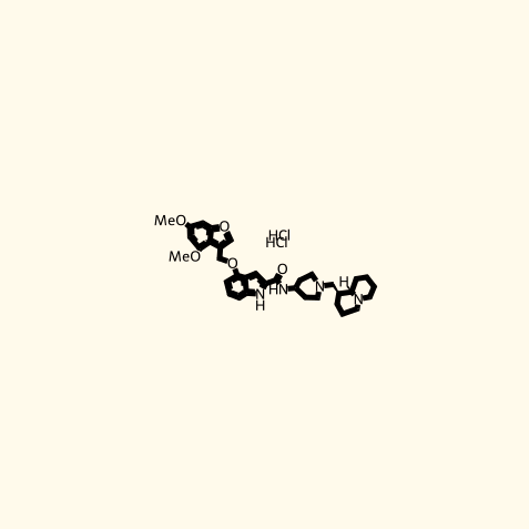 COc1cc(OC)c2c(COc3cccc4[nH]c(C(=O)NC5CCN(C[C@@H]6CCCN7CCCC[C@H]67)CC5)cc34)coc2c1.Cl.Cl